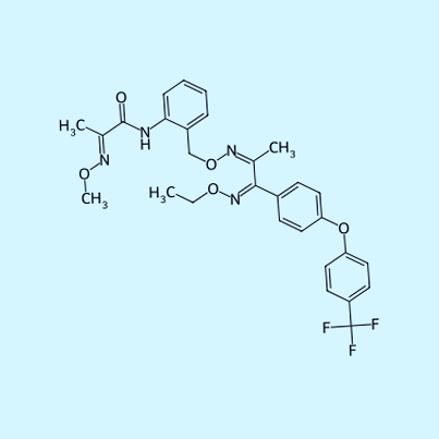 CCON=C(C(C)=NOCc1ccccc1NC(=O)C(C)=NOC)c1ccc(Oc2ccc(C(F)(F)F)cc2)cc1